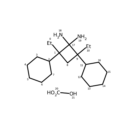 CCC1(C2CCCCC2)CC(CC)(C2CCCCC2)C1(N)N.O=C(O)O